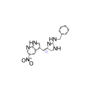 O=[N+]([O-])c1cnc2[nH]cc(/C=C3/CNC(NCc4ccccc4)=N3)c2c1